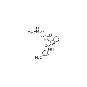 Cc1ccc(NC(=O)c2oc3ccccc3c2NC(=O)[C@H]2CC[C@H](NC=O)CC2)nc1